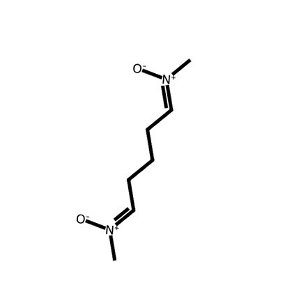 C[N+]([O-])=CCCCC=[N+](C)[O-]